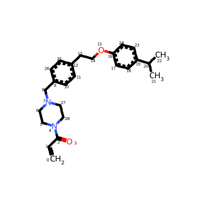 C=CC(=O)N1CCN(Cc2ccc(CCOc3ccc(C(C)C)cc3)cc2)CC1